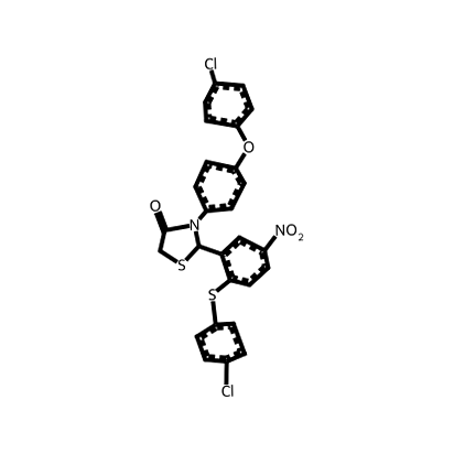 O=C1CSC(c2cc([N+](=O)[O-])ccc2Sc2ccc(Cl)cc2)N1c1ccc(Oc2ccc(Cl)cc2)cc1